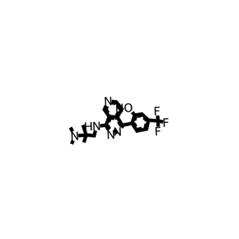 CN(C)C(C)(C)CNc1nnc(-c2ccc(C(F)(F)F)cc2O)c2ccncc12